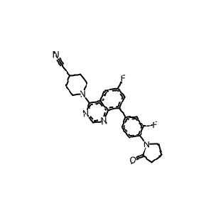 N#CC1CCN(c2ncnc3c(-c4ccc(N5CCCC5=O)c(F)c4)cc(F)cc23)CC1